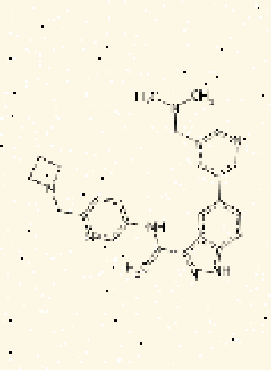 C=C(Nc1ccc(CN2CCC2)nc1)c1n[nH]c2ccc(-c3cncc(CN(C)C)c3)cc12